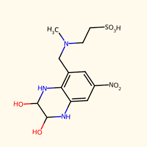 CN(CCS(=O)(=O)O)Cc1cc([N+](=O)[O-])cc2c1NC(O)C(O)N2